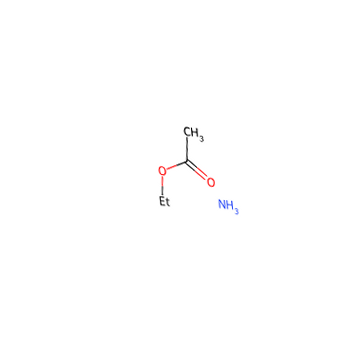 CCOC(C)=O.N